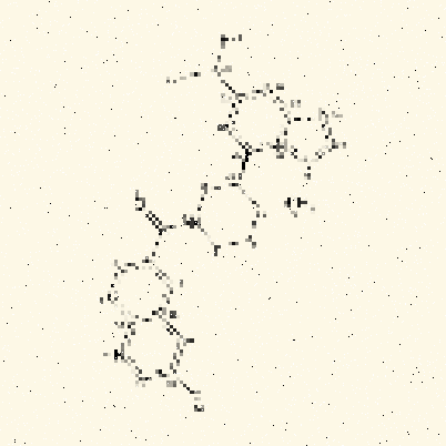 C[C@@H]1CCN(C(=O)c2ccc3ncc(F)cc3c2)C[C@H]1c1cc(C(F)F)nc2ncnn12